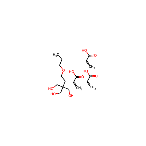 C=CC(=O)O.C=CC(=O)O.C=CC(=O)O.CCCOCCC(CO)(CO)CO